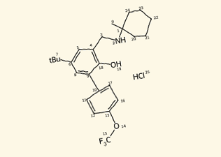 CC1(NCc2cc(C(C)(C)C)cc(-c3ccc(OC(F)(F)F)cc3)c2O)CCCCC1.Cl